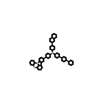 c1ccc(-c2ccc(-c3ccc(N(c4ccc(-c5ccc6ccccc6c5)cc4)c4ccc(-c5ccc6c(c5)c5cccc7c5n6-c5ccccc5O7)cc4)cc3)cc2)cc1